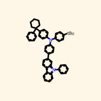 CC(C)(C)c1ccc(N(c2ccc(-c3ccc4c5ccccc5n(-c5ccccc5)c4c3)cc2)c2ccc(C3(c4ccccc4)CCCCC3)cc2)cc1